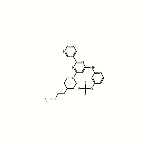 COCCC1CCN(c2cc(Nc3cc(OC(F)(F)F)ccn3)nc(-c3cccnc3)n2)CC1